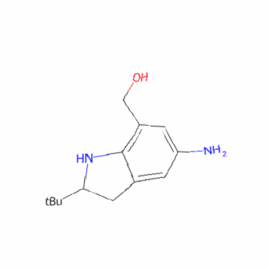 CC(C)(C)C1Cc2cc(N)cc(CO)c2N1